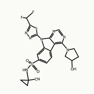 N#CC1(NS(=O)(=O)c2ccc3c4c(N5CCC(O)C5)ncnc4n(-c4nnc(C(F)F)s4)c3c2)CC1